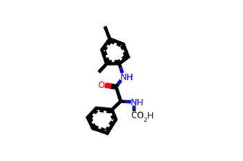 Cc1ccc(NC(=O)C(NC(=O)O)c2ccccc2)c(C)c1